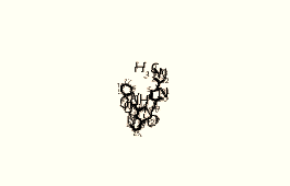 Cn1cc(-c2ccc(Cn3cc(C(=O)N[C@H]4CCCC[C@@H]4O)c4ncccc4c3=O)cn2)cn1